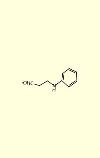 O=[C]CCNc1ccccc1